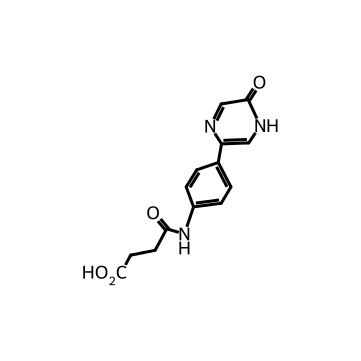 O=C(O)CCC(=O)Nc1ccc(-c2c[nH]c(=O)cn2)cc1